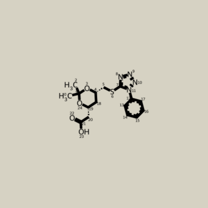 CC1(C)O[C@H](CSc2nnnn2-c2ccccc2)C[C@H](CC(=O)O)O1